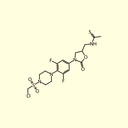 CC(=S)NCC1CN(c2cc(F)c(N3CCN(S(=O)(=O)CCl)CC3)c(F)c2)C(=O)O1